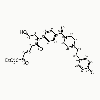 CCOC(=O)C(=O)CSCC(=O)N(CCO)c1ccc(C(=O)N2CCN(CCc3ccc(Cl)cc3)CC2)cc1